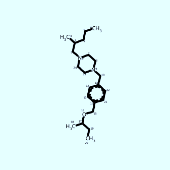 CCCC(C)CN1CCN(Cc2ccc(COC(C)CC)cc2)CC1